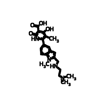 Cc1c(-c2ccc3c(c2)cc(CNCCN(C)C)n3C)[nH]c(=O)c(C(=O)O)c1O